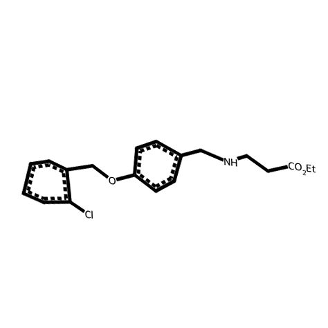 CCOC(=O)CCNCc1ccc(OCc2ccccc2Cl)cc1